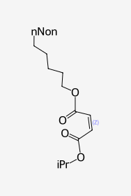 CCCCCCCCCCCCCCOC(=O)/C=C\C(=O)OC(C)C